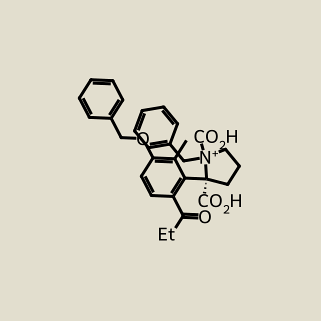 CCC(=O)c1ccc(OCc2ccccc2)c(C)c1[C@]1(C(=O)O)CCC[N+]1(Cc1ccccc1)C(=O)O